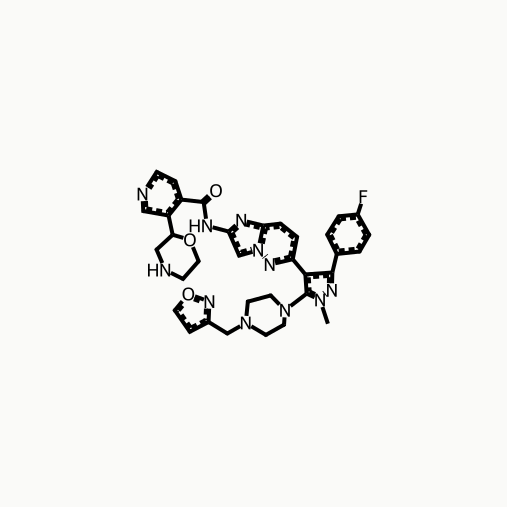 Cn1nc(-c2ccc(F)cc2)c(-c2ccc3nc(NC(=O)c4ccncc4C4CNCCO4)cn3n2)c1N1CCN(Cc2ccon2)CC1